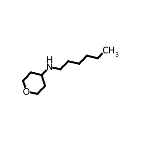 CCCCCCNC1CCOCC1